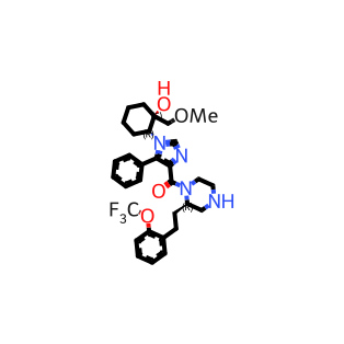 COC[C@]1(O)CCCC[C@H]1n1cnc(C(=O)N2CCNC[C@H]2CCc2ccccc2OC(F)(F)F)c1-c1ccccc1